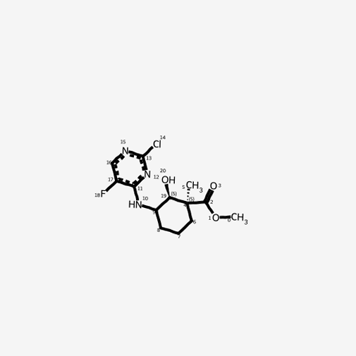 COC(=O)[C@@]1(C)CCCC(Nc2nc(Cl)ncc2F)[C@H]1O